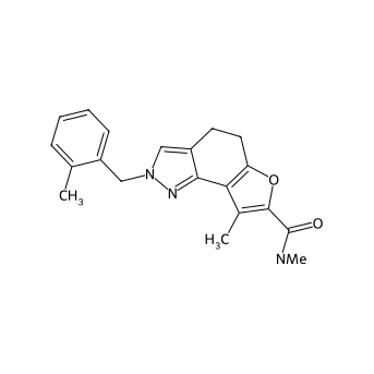 CNC(=O)c1oc2c(c1C)-c1nn(Cc3ccccc3C)cc1CC2